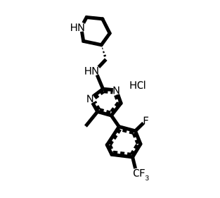 Cc1nc(NC[C@H]2CCCNC2)ncc1-c1ccc(C(F)(F)F)cc1F.Cl